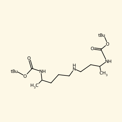 CC(CCCNCCC(C)NC(=O)OC(C)(C)C)NC(=O)OC(C)(C)C